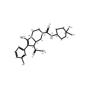 N#CC1=C(c2cccc(F)c2)C(C(N)=O)C2CN(C(=O)NC3CCC(F)(F)CC3)CCN12